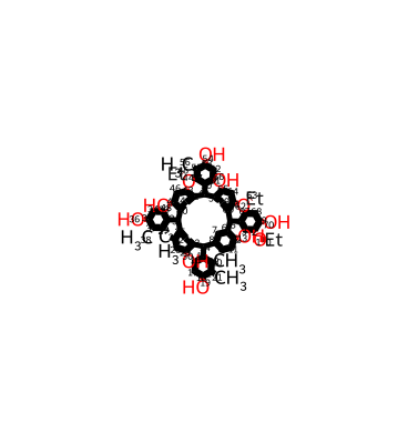 CCOc1cc(C2c3cc(c(C)cc3O)C(c3ccc(O)c(C)c3)c3cc(c(C)cc3O)C(c3ccc(O)c(C)c3)c3cc(c(OCC)cc3O)C(c3ccc(O)c(C)c3)c3cc2c(OCC)cc3O)ccc1O